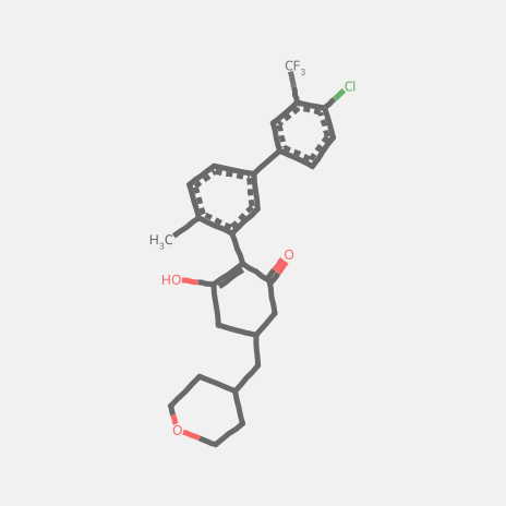 Cc1ccc(-c2ccc(Cl)c(C(F)(F)F)c2)cc1C1=C(O)CC(CC2CCOCC2)CC1=O